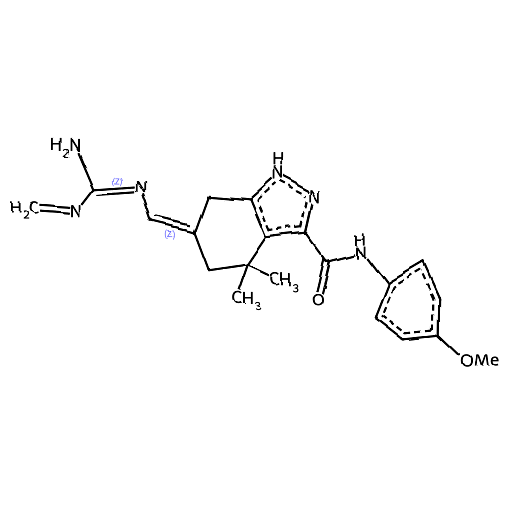 C=N/C(N)=N\C=C1/Cc2[nH]nc(C(=O)Nc3ccc(OC)cc3)c2C(C)(C)C1